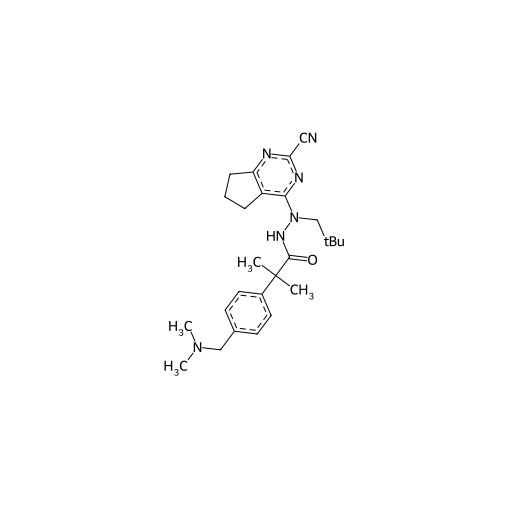 CN(C)Cc1ccc(C(C)(C)C(=O)NN(CC(C)(C)C)c2nc(C#N)nc3c2CCC3)cc1